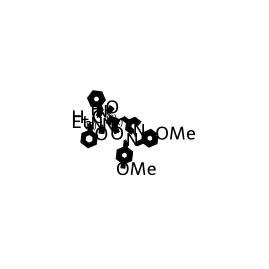 CC[C@@H](NC(=O)N1C(=O)[C@H](Cc2ccnc(N(Cc3ccc(OC)cc3)Cc3ccc(OC)cc3)c2)[C@H]1C(=O)N(C)c1ccccc1)C1CCCCC1